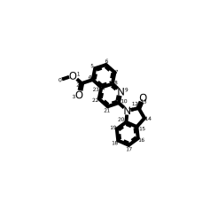 COC(=O)c1cccc2nc(N3C(=O)Cc4ccccc43)ccc12